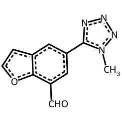 Cn1nnnc1-c1cc(C=O)c2occc2c1